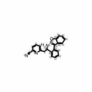 N#Cc1cccc(CC(N)c2ccccc2-c2noc3ccccc23)n1